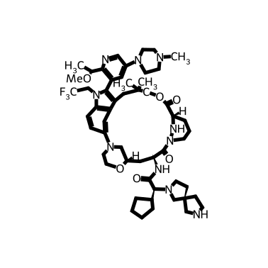 CO[C@@H](C)c1ncc(N2CCN(C)CC2)cc1-c1c2c3cc(ccc3n1CC(F)(F)F)N1CCO[C@@H](C[C@H](NC(=O)[C@H](C3CCCC3)N3CC[C@]4(CCNC4)C3)C(=O)N3CCC[C@H](N3)C(=O)OCC(C)(C)C2)C1